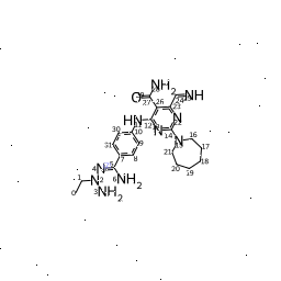 CCN(N)/N=C(\N)c1ccc(Nc2nc(N3CCCCCC3)nc(C=N)c2C(N)=O)cc1